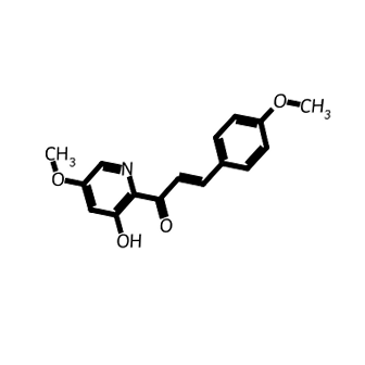 COc1ccc(/C=C/C(=O)c2ncc(OC)cc2O)cc1